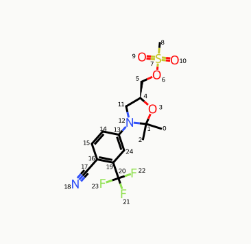 CC1(C)O[C@H](COS(C)(=O)=O)CN1c1ccc(C#N)c(C(F)(F)F)c1